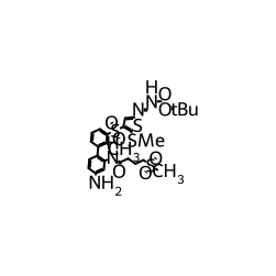 CSc1sc(N=CNC(=O)OC(C)(C)C)cc1S(=O)(=O)c1cccc(-c2ccc(N)cc2NC(=O)CCCS(C)(=O)=O)c1C